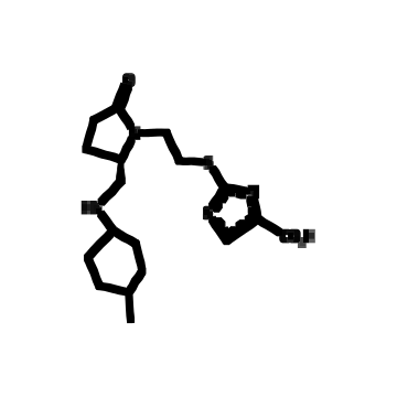 CC1CCC(NC[C@H]2CCC(=O)N2CCSc2nc(C(=O)O)cs2)CC1